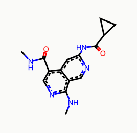 CNC(=O)c1cnc(NC)c2cnc(NC(=O)C3CC3)cc12